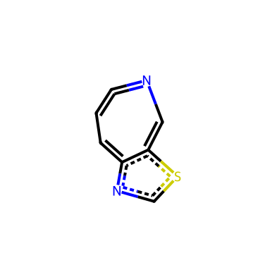 C1=CC=c2ncsc2=CN=1